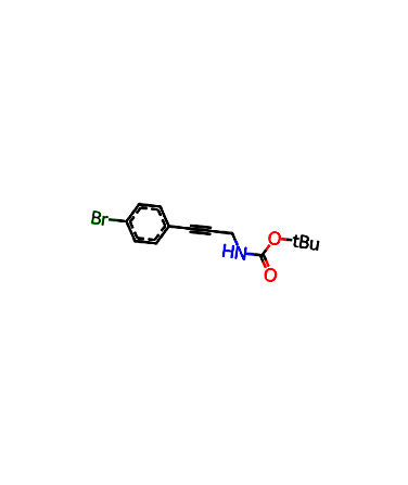 CC(C)(C)OC(=O)NCC#Cc1ccc(Br)cc1